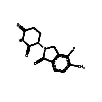 Cc1ccc2c(c1F)CN([C@H]1CCC(=O)NC1=O)C2=O